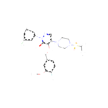 COc1cc(COc2c(N3CCN(S(=O)(=O)C(C)C)CC3)cnn(-c3cccc(Cl)c3)c2=O)ccc1F